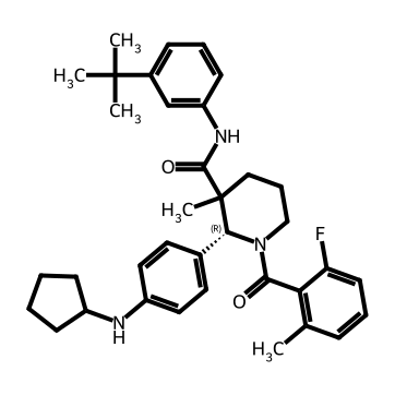 Cc1cccc(F)c1C(=O)N1CCCC(C)(C(=O)Nc2cccc(C(C)(C)C)c2)[C@H]1c1ccc(NC2CCCC2)cc1